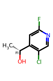 C[C@@H](O)c1cc(F)ncc1Cl